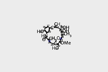 CO[C@H]1/C(C)=C/[C@@H](C)[C@H](O)[C@@H](CO)C[C@@H](C)Cc2ccc(O)c(c2)NC(=O)/C(C)=C/CC[C@@H]1CO